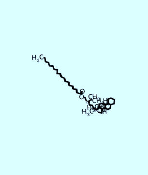 CCCCCCCCCC=CC=CC=CC=CC=CC(=O)OCC[C@H](CC[C@@H](C)[C@H]1CC[C@H]2[C@@H]3CCC4CCCC[C@]4(C)[C@H]3CC[C@]12C)C(C)C